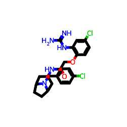 N=C(N)Nc1cc(Cl)ccc1OCC(=O)NC1CC2CCC(C1)N2Cc1ccc(Cl)cc1